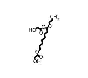 CCCOC(CCCCCCCOC(=O)CO)OC(=O)CO